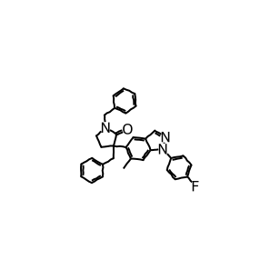 Cc1cc2c(cnn2-c2ccc(F)cc2)cc1C1(Cc2ccccc2)CCN(Cc2ccccc2)C1=O